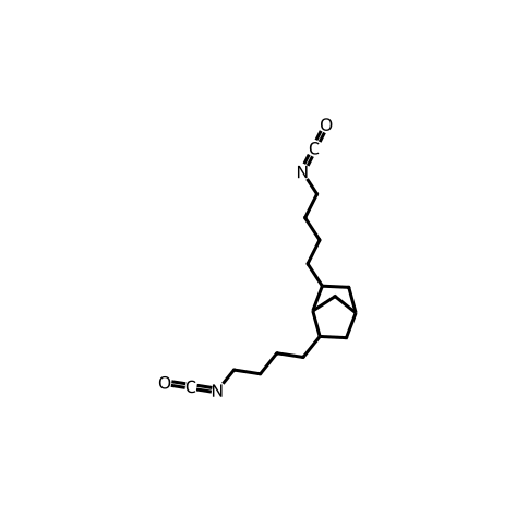 O=C=NCCCCC1CC2CC(CCCCN=C=O)C1C2